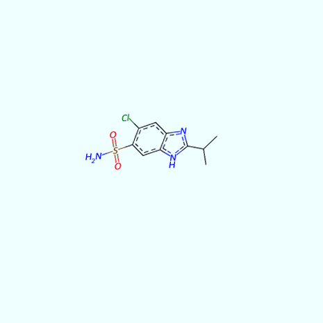 CC(C)c1nc2cc(Cl)c(S(N)(=O)=O)cc2[nH]1